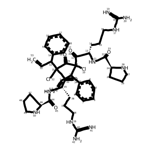 C=CC(c1ccccc1)C(Cl)(C(=O)[C@H](CCCNC(=N)N)NC(=O)[C@@H]1CCCN1)C(=O)C(Cl)(C(=O)[C@H](CCCNC(=N)N)NC(=O)[C@@H]1CCCN1)C(C=C)c1ccccc1